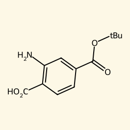 CC(C)(C)OC(=O)c1ccc(C(=O)O)c(N)c1